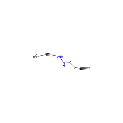 C#CCCNNC#CCCC